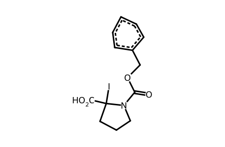 O=C(OCc1ccccc1)N1CCCC1(I)C(=O)O